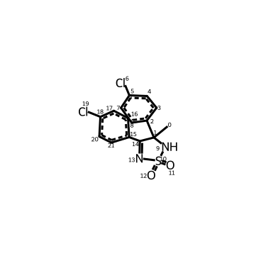 CC1(c2ccc(Cl)cc2)NS(=O)(=O)N=C1c1ccc(Cl)cc1